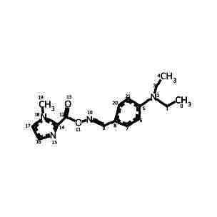 CCN(CC)c1ccc(C=NOC(=O)c2nccn2C)cc1